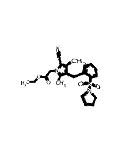 CCOC(=O)Cn1c(C)c(Cc2ccccc2S(=O)(=O)N2CCCC2)c(C)c1C#N